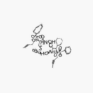 CC#CCON(C(C(=O)NO)C1CCCCC1)S(=O)(=O)c1ccccc1.CC#CCON(C(CSC(C)(C)C)C(=O)NO)S(=O)(=O)c1ccccc1